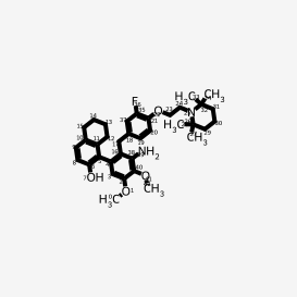 COc1cc(-c2c(O)ccc3c2CCCC3)c(Cc2ccc(OCCN3C(C)(C)CCCC3(C)C)c(F)c2)c(N)c1OC